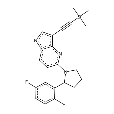 C[Si](C)(C)C#Cc1cnn2ccc(N3CCCC3c3cc(F)ccc3F)nc12